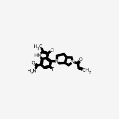 C=CC(=O)N1CC2CCN(c3c(F)cc(C(N)=O)c4[nH]c(C)c(Cl)c34)CC2C1